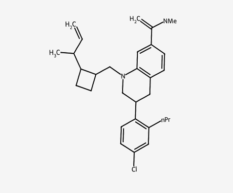 C=CC(C)C1CCC1CN1CC(c2ccc(Cl)cc2CCC)Cc2ccc(C(=C)NC)cc21